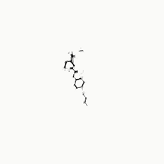 CCCCOc1ccc(CC(=O)c2cc(C(=O)OCC)ccn2)cc1